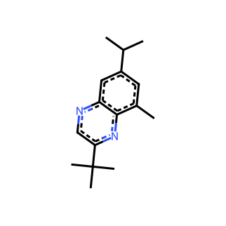 Cc1cc(C(C)C)cc2ncc(C(C)(C)C)nc12